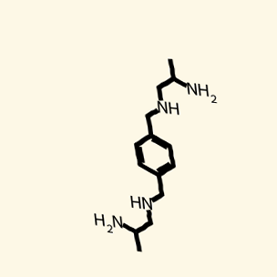 CC(N)CNCc1ccc(CNCC(C)N)cc1